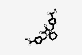 COC(=O)c1ccc(CN2C(=O)C(=O)N(Cc3ccc(C(=O)OC)cc3)C23CCCCC3)cc1